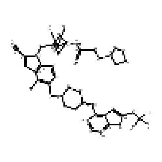 Cc1c(CN2CCC(Nc3ncnc4sc(CC(F)(F)F)cc34)CC2)ccc2c1cc(C#N)n2CC12CC(NC(=O)CCN3CCCC3)(C1)[C@H]2C